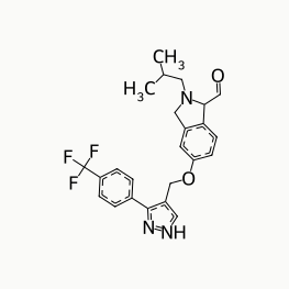 CC(C)CN1Cc2cc(OCc3c[nH]nc3-c3ccc(C(F)(F)F)cc3)ccc2C1C=O